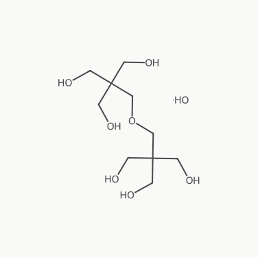 OCC(CO)(CO)COCC(CO)(CO)CO.[OH]